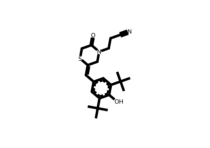 CC(C)(C)c1cc(C=C2CN(CCC#N)C(=O)CS2)cc(C(C)(C)C)c1O